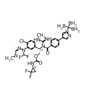 BC(B)(B)n1cc(-c2ccc(C(=O)N(C(=N)NC)[C@H](COC(=O)N[C@H]3CC3(F)F)c3ccc(Cl)c(N(/N=C\N=C)C(F)F)c3)cc2)cn1